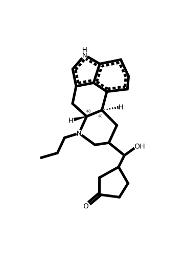 CCCN1CC(C(O)C2CCC(=O)C2)C[C@@H]2c3cccc4[nH]cc(c34)C[C@H]21